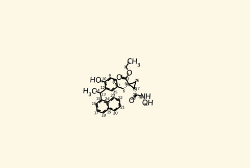 CCOC(=O)[C@@]1(Cc2ccc(O)c(C(C)c3cccc4ccccc34)c2)C[C@@H]1C(=O)NO